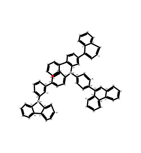 c1ccc(-c2ccc(-c3cccc4ccccc34)cc2N(c2ccc(-c3cccc(-n4c5ccccc5c5ccccc54)c3)cc2)c2ccc(-c3cc4ccccc4c4ccccc34)cc2)cc1